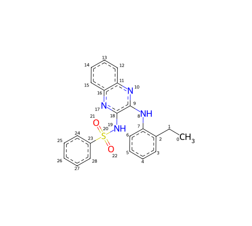 CCc1ccccc1Nc1nc2ccccc2nc1NS(=O)(=O)c1ccccc1